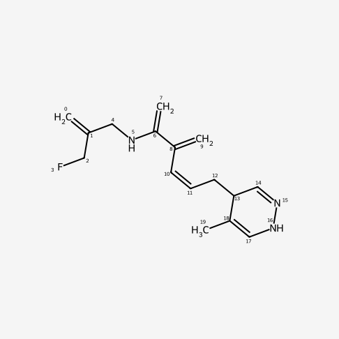 C=C(CF)CNC(=C)C(=C)/C=C\CC1C=NNC=C1C